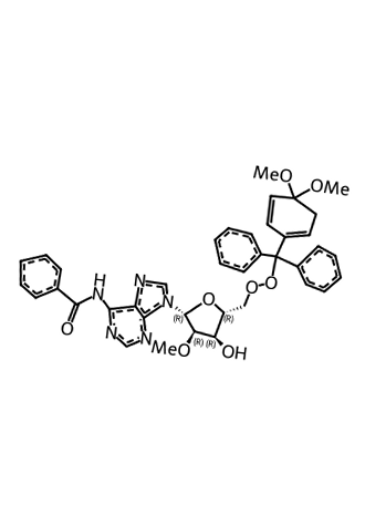 CO[C@@H]1[C@H](O)[C@@H](COOC(C2=CCC(OC)(OC)C=C2)(c2ccccc2)c2ccccc2)O[C@H]1n1cnc2c(NC(=O)c3ccccc3)ncnc21